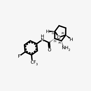 N[C@@H]1[C@H](C(=O)Nc2ccc(F)c(C(F)(F)F)c2)[C@@H]2CC[C@H]1O2